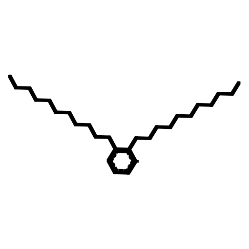 CCCCCCCCCCCc1[c]cccc1CCCCCCCCCCC